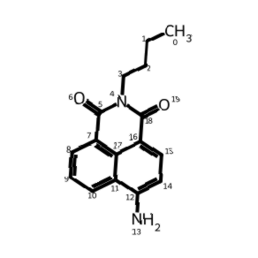 CCCCN1C(=O)c2cccc3c(N)ccc(c23)C1=O